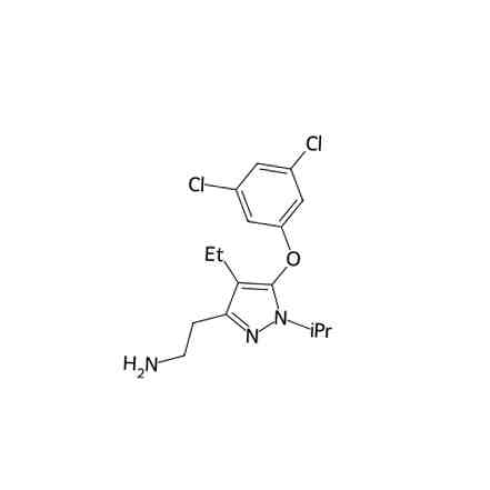 CCc1c(CCN)nn(C(C)C)c1Oc1cc(Cl)cc(Cl)c1